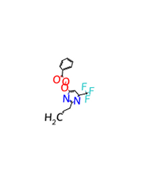 C=CCc1nc(OOC(=O)c2ccccc2)cc(C(F)(F)F)n1